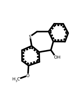 COc1ccc2c(c1)C(O)c1ccccc1CS2